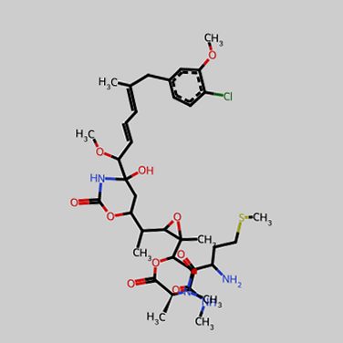 CNC(=O)CC(OC(=O)[C@H](C)N(C)C(=O)C(N)CCSC)C1(C)OC1C(C)C1CC(O)(C(/C=C/C=C(\C)Cc2ccc(Cl)c(OC)c2)OC)NC(=O)O1